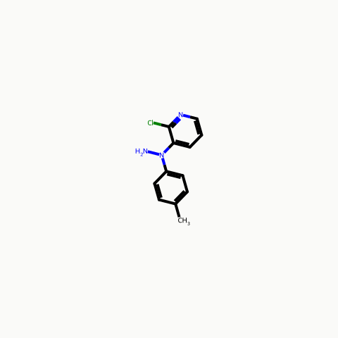 Cc1ccc(N(N)c2cccnc2Cl)cc1